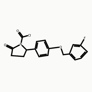 O=C(Cl)N1C(=O)CCC1c1ccc(OCc2cccc(F)c2)cc1